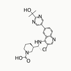 C[C@@H](Nc1c(Cl)cnc2ccc(-c3cnc(C(C)(C)O)nc3)cc12)[C@@H]1CCCN(C(=O)O)C1